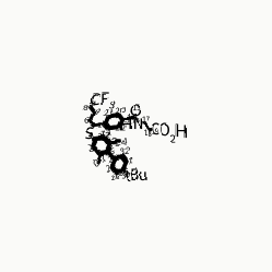 Cc1cc(SC(CCCC(F)(F)F)c2ccc(C(=O)NCCC(=O)O)cc2)cc(C)c1-c1ccc(C(C)(C)C)cc1